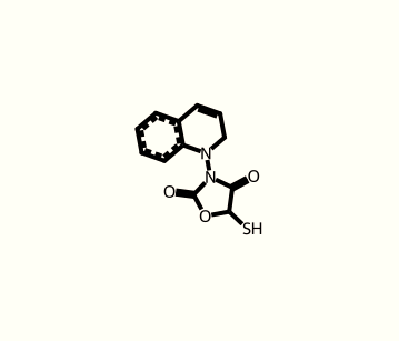 O=C1OC(S)C(=O)N1N1CC=Cc2ccccc21